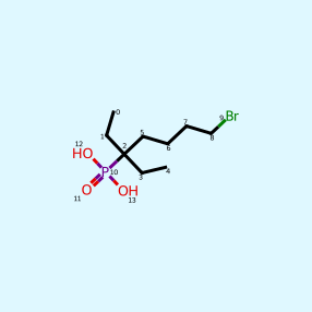 CCC(CC)(CCCCBr)P(=O)(O)O